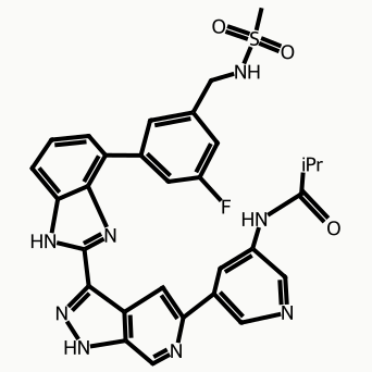 CC(C)C(=O)Nc1cncc(-c2cc3c(-c4nc5c(-c6cc(F)cc(CNS(C)(=O)=O)c6)cccc5[nH]4)n[nH]c3cn2)c1